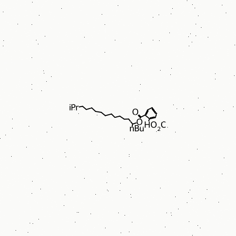 CCCCC(CCCCCCCCCCCC(C)C)OC(=O)c1ccccc1C(=O)O